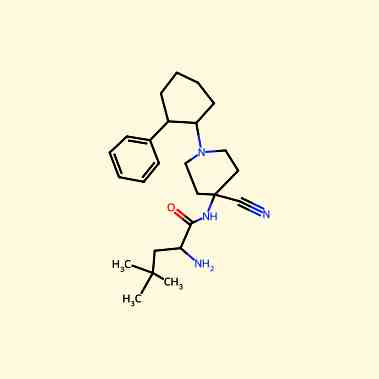 CC(C)(C)CC(N)C(=O)NC1(C#N)CCN(C2CCCCC2c2ccccc2)CC1